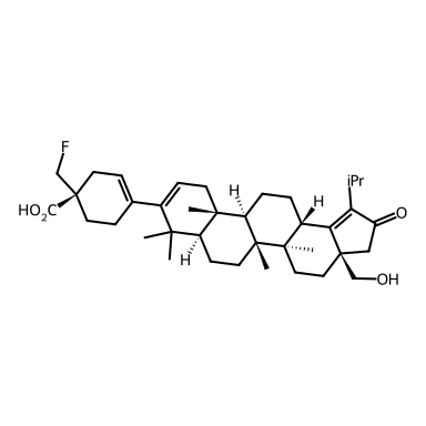 CC(C)C1=C2[C@H]3CC[C@@H]4[C@@]5(C)CC=C(C6=CC[C@](CF)(C(=O)O)CC6)C(C)(C)[C@@H]5CC[C@@]4(C)[C@]3(C)CC[C@@]2(CO)CC1=O